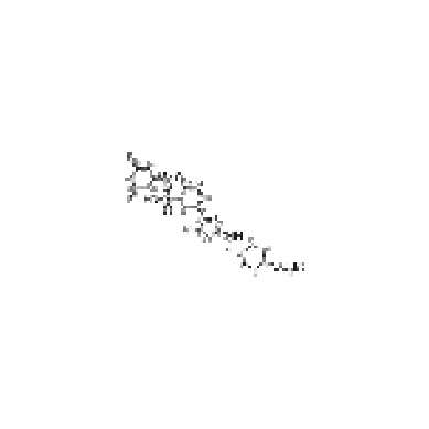 CCOC(=O)[C@H]1CC[C@H](CNc2nc(C)c(-c3ccc(OC)c(S(=O)(=O)Nc4ccc(F)cc4F)c3)s2)CC1